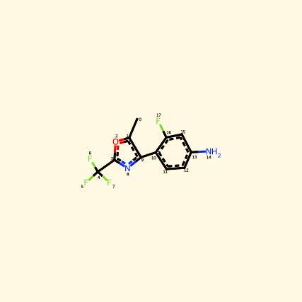 Cc1oc(C(F)(F)F)nc1-c1ccc(N)cc1F